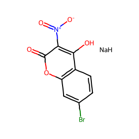 O=c1oc2cc(Br)ccc2c(O)c1[N+](=O)[O-].[NaH]